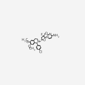 COc1cc2c(cc1OC)C(c1ccc(Cl)cc1)N(C[C@@H]1CC(F)(F)[C@H](n3ccc(N)nc3=O)O1)CC2